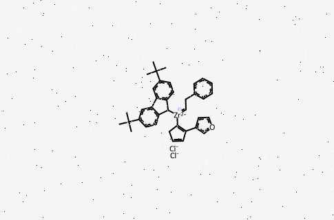 CC(C)(C)c1ccc2c(c1)-c1cc(C(C)(C)C)ccc1[CH]2/[Zr+2](=[CH]\Cc1ccccc1)[C]1=C(c2ccoc2)C=CC1.[Cl-].[Cl-]